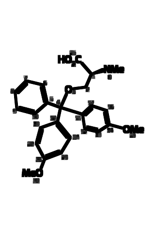 CN[C@@H](COC(c1ccccc1)(c1ccc(OC)cc1)c1ccc(OC)cc1)C(=O)O